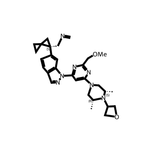 C=NC[C@@]1(c2ccc3cnn(-c4cc(N5C[C@@H](C)N(C6COC6)[C@@H](C)C5)nc(COC)n4)c3c2)CC12CC2